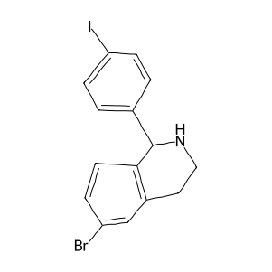 Brc1ccc2c(c1)CCNC2c1ccc(I)cc1